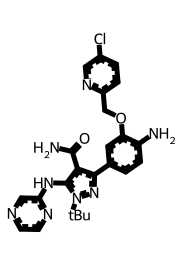 CC(C)(C)n1nc(-c2ccc(N)c(OCc3ccc(Cl)cn3)c2)c(C(N)=O)c1Nc1cnccn1